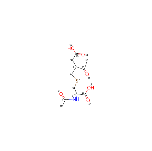 CC(=O)NC(CSCC(CC(=O)O)C(C)=O)C(=O)O